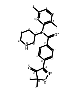 Cc1ccc(C)c(N(C(=O)c2ccc(C3=NOC(C)(C)C3=O)cc2)C2CCCNC2)n1